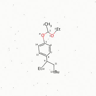 CCOC(C)Oc1ccc(C(CC)CC(C)(C)C)cc1